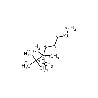 COCCC[SH](C)(C)(C)C(C)(C)C